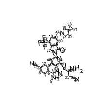 Cn1cnnc1-c1ccc(C#N)cc1-c1cc(OC[C@@H](N)CC#N)nc(N2Cc3c(cc(CN4CCC5(CC5)C4)cc3C(F)(F)F)C2=O)c1